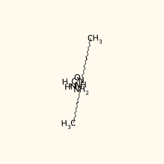 CCCCCCCCC=CCCCCCCCCN(CCCCCCCCC=CCCCCCCCC)C(=O)C(C)NC(=N)N